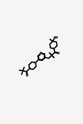 CC1(O)CCN(C(=O)C(C)(C)Cc2cncc(N3CCN(C(=O)C(C)(C)C)CC3)c2)CC1